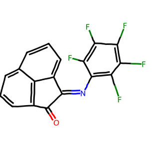 O=C1C(=Nc2c(F)c(F)c(F)c(F)c2F)c2cccc3cccc1c23